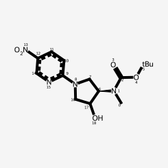 CN(C(=O)OC(C)(C)C)[C@@H]1CN(c2ccc([N+](=O)[O-])cn2)CC1O